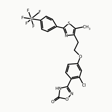 Cc1sc(-c2ccc(S(F)(F)(F)(F)F)cc2)nc1CCOc1ccc(-c2noc(=O)[nH]2)c(Cl)c1